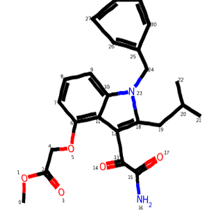 COC(=O)COc1cccc2c1c(C(=O)C(N)=O)c(CC(C)C)n2Cc1ccccc1